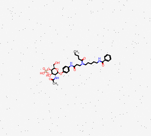 CCCCC(=O)N(CCCCCNC(=O)c1ccccc1)CCC(=O)Nc1ccc(O[C@@H]2O[C@H](CO)[C@H](OS(=O)(=O)O)[C@H](O)[C@H]2NC(C)=O)cc1